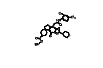 CC(C)(C)OC(=O)N1CCC2(CCc3c2c(=O)n2nc(N4CCOCC4)nc2n3CC(=O)Nc2ccc(C(F)(F)F)cc2Cl)CC1